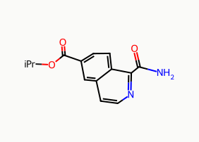 CC(C)OC(=O)c1ccc2c(C(N)=O)nccc2c1